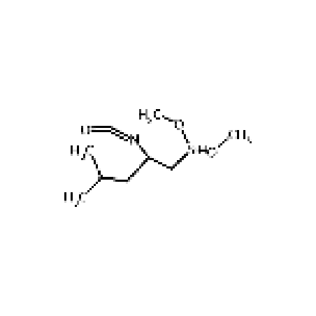 CO[SiH](CC(CC(C)C)N=C=O)OC